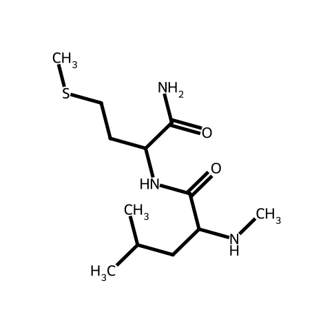 CNC(CC(C)C)C(=O)NC(CCSC)C(N)=O